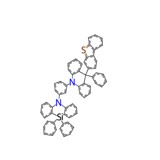 c1ccc(C2(c3ccc4c(c3)sc3ccccc34)c3ccccc3N(c3cccc(N4c5ccccc5[Si](c5ccccc5)(c5ccccc5)c5ccccc54)c3)c3ccccc32)cc1